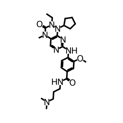 CCN1C(=O)N(C)c2cnc(Nc3ccc(C(=O)NCCCN(C)C)cc3OC)nc2N1C1CCCC1